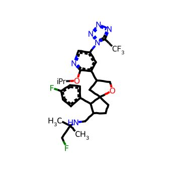 CC(C)Oc1ncc(-n2nnnc2C(F)(F)F)cc1C1COC2(CCC(CNC(C)(C)CF)C2c2ccc(F)cc2)C1